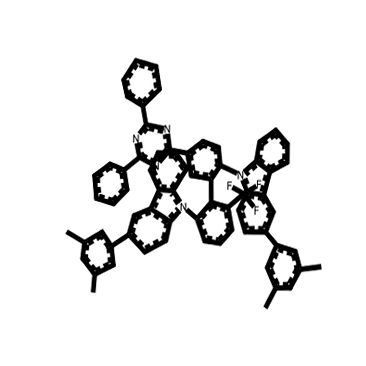 Cc1cc(C)cc(-c2ccc3c(c2)c2ccccc2n3-c2ccc(-c3nc(-c4ccccc4)nc(-c4ccccc4)n3)cc2-c2c(-n3c4ccccc4c4cc(-c5cc(C)cc(C)c5)ccc43)cccc2C(F)(F)F)c1